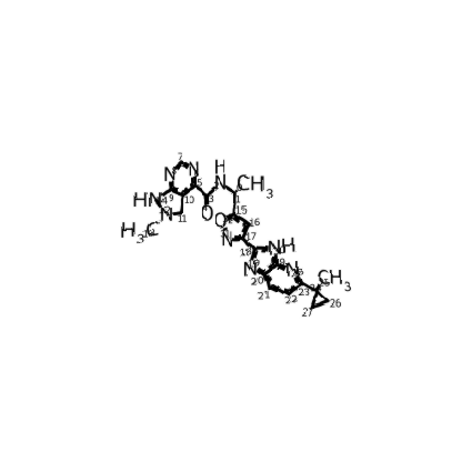 C[C@@H](NC(=O)c1ncnc2c1CN(C)N2)c1cc(-c2nc3ccc(C4(C)CC4)nc3[nH]2)no1